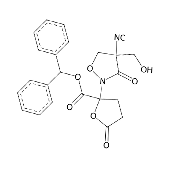 [C-]#[N+]C1(CO)CON(C2(C(=O)OC(c3ccccc3)c3ccccc3)CCC(=O)O2)C1=O